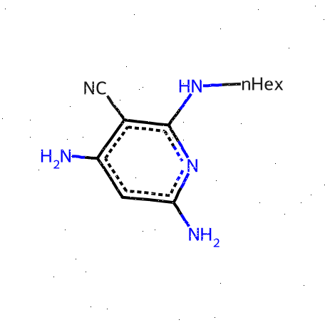 CCCCCCNc1nc(N)cc(N)c1C#N